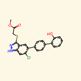 COC(=O)CSc1n[nH]c2cc(Cl)c(-c3ccc(-c4ccccc4O)cc3)cc12